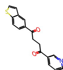 O=C(CCC(=O)c1ccc2sccc2c1)c1cccnc1